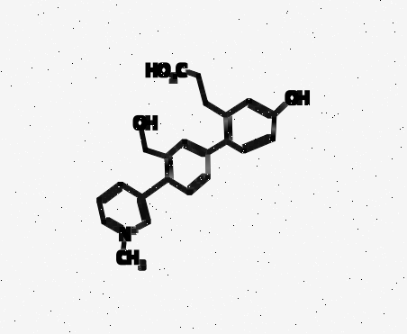 C[n+]1cccc(-c2ccc(-c3ccc(O)cc3CCC(=O)O)cc2CO)c1